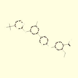 CCc1cc(Oc2ccc(-c3cc(C)cc(Nc4nccc(C(F)(F)F)n4)c3)cn2)ccc1C(=O)O